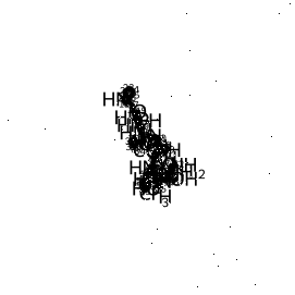 C[C@H](NC(=O)C[C@H](NC(=O)NC(=O)NC(=O)CCc1c[nH]c2ccccc12)C(=O)N1CCC[C@H]1C(=O)O)C(=O)N1CCCC1C(=O)NCC(=O)NC(Cc1ccc(C(F)(F)F)cc1)C(=O)NC(C(=O)N[C@@H](CO)C(=O)NC(N)=O)[C@@H](C)O